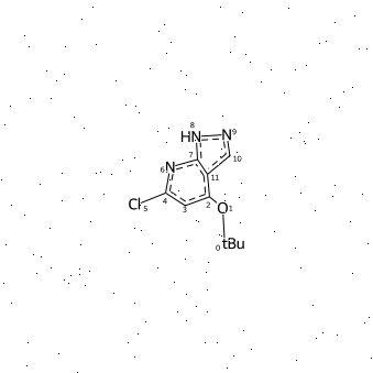 CC(C)(C)Oc1cc(Cl)nc2[nH]ncc12